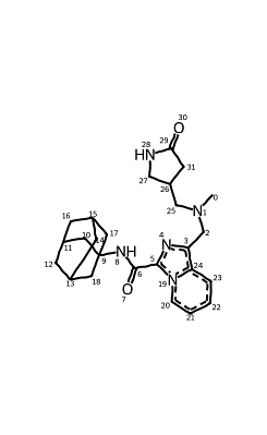 CN(Cc1nc(C(=O)NC23CC4CC(CC(C4)C2)C3)n2ccccc12)CC1CNC(=O)C1